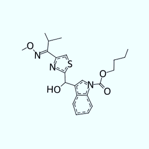 CCCCOC(=O)n1cc(C(O)c2nc(C(=NOC)C(C)C)cs2)c2ccccc21